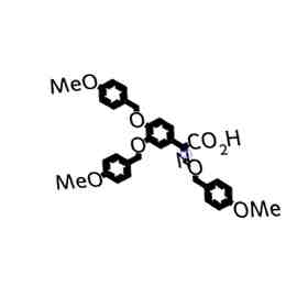 COc1ccc(CO/N=C(\C(=O)O)c2ccc(OCc3ccc(OC)cc3)c(OCc3ccc(OC)cc3)c2)cc1